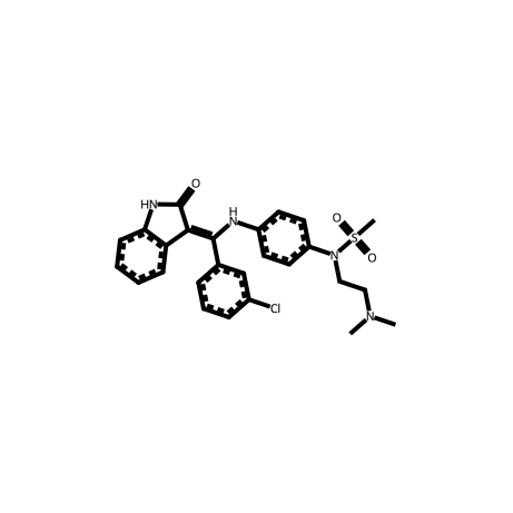 CN(C)CCN(c1ccc(N/C(=C2\C(=O)Nc3ccccc32)c2cccc(Cl)c2)cc1)S(C)(=O)=O